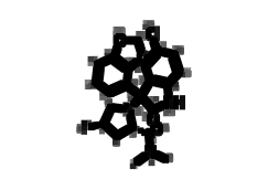 CN(C)C(=O)[C@@H]1C[C@@H](F)CN1C1(c2cccc3c2OCO3)C(=O)Nc2ccc(Cl)cc21